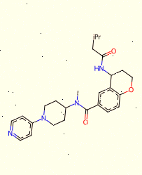 CC(C)CC(=O)NC1CCOc2ccc(C(=O)N(C)C3CCN(c4ccncc4)CC3)cc21